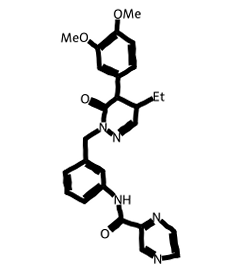 CCC1C=NN(Cc2cccc(NC(=O)c3cnccn3)c2)C(=O)C1c1ccc(OC)c(OC)c1